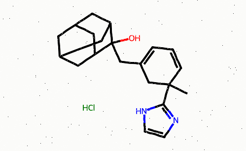 CC1(c2ncc[nH]2)C=CC=C(CC2(O)C3CC4CC(C3)CC2C4)C1.Cl